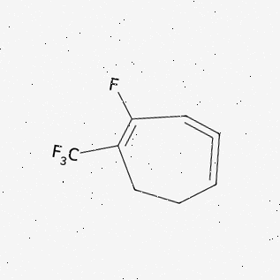 FC1=C(C(F)(F)F)CCC=C=C1